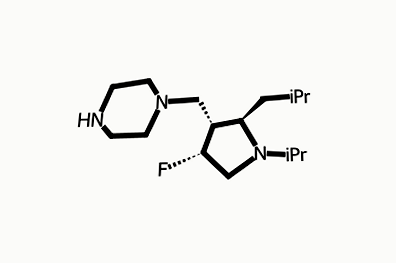 CC(C)C[C@@H]1[C@@H](CN2CCNCC2)[C@@H](F)CN1C(C)C